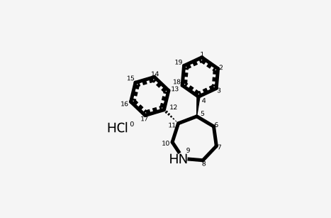 Cl.c1ccc([C@H]2CCCNC[C@@H]2c2ccccc2)cc1